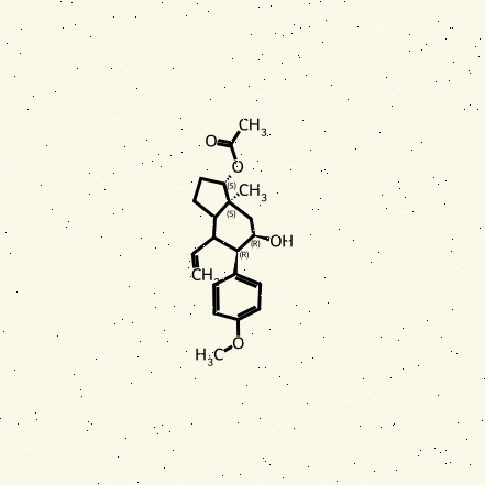 C=CC1C2CC[C@H](OC(C)=O)[C@@]2(C)C[C@@H](O)[C@H]1c1ccc(OC)cc1